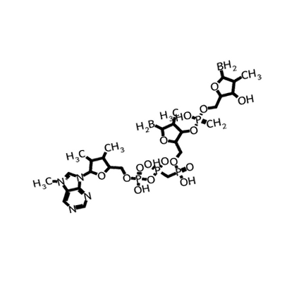 BC1OC(COP(=C)(O)OC2C(COP(=O)(O)CP(=O)(O)OP(=O)(O)OCC3OC(n4c[n+](C)c5cncnc54)C(C)C3C)OC(B)C2C)C(O)C1C